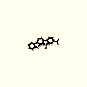 CC(C)c1ccc2c3ccc4c5ccccc5oc4c3n(C)c2c1